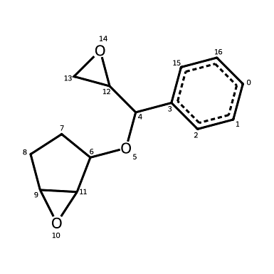 c1ccc(C(OC2CCC3OC23)C2CO2)cc1